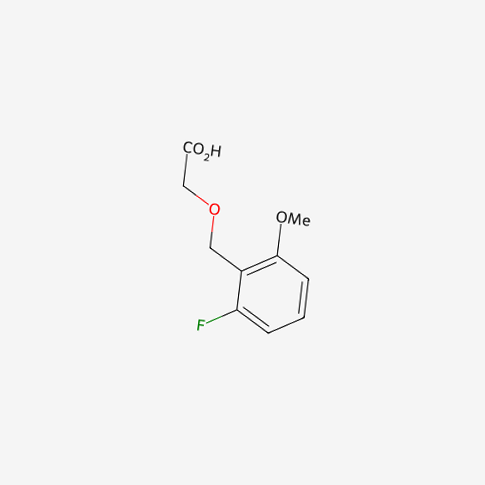 COc1cccc(F)c1COCC(=O)O